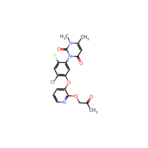 CC(=O)COc1ncccc1Oc1cc(-n2c(=O)cc(C)n(C)c2=O)c(F)cc1Cl